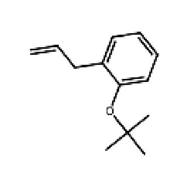 C=CCc1ccccc1OC(C)(C)C